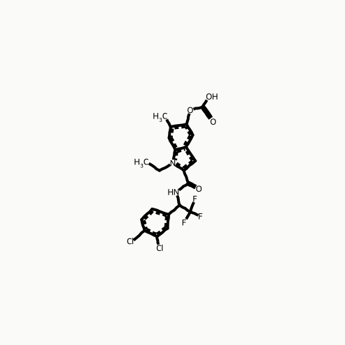 CCn1c(C(=O)NC(c2ccc(Cl)c(Cl)c2)C(F)(F)F)cc2cc(OC(=O)O)c(C)cc21